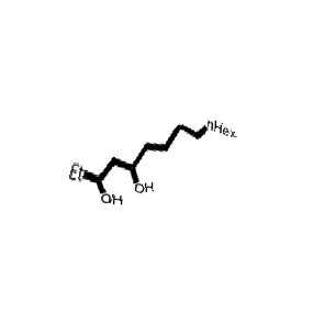 CCCCCCCCCCC(O)CC(O)CC